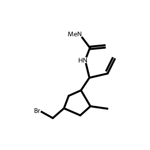 C=CC(NC(=C)NC)C1CC(CBr)CC1C